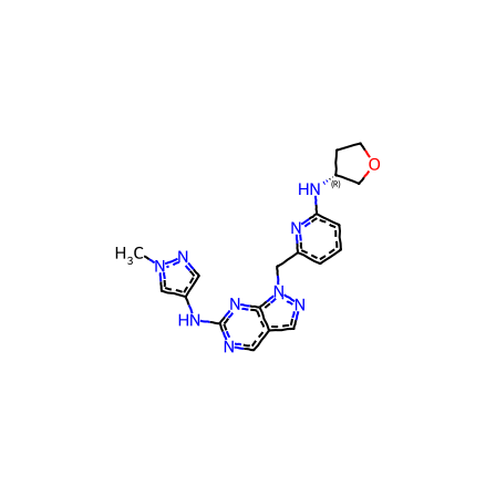 Cn1cc(Nc2ncc3cnn(Cc4cccc(N[C@@H]5CCOC5)n4)c3n2)cn1